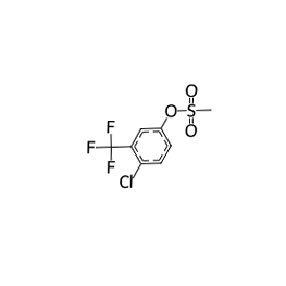 CS(=O)(=O)Oc1ccc(Cl)c(C(F)(F)F)c1